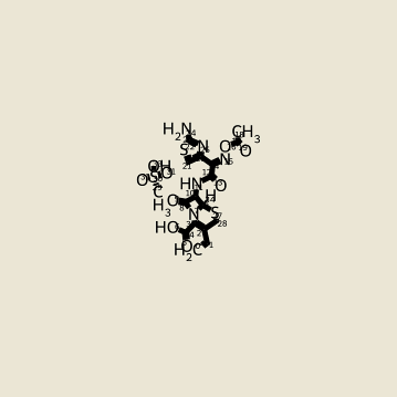 C=CC1=C(C(=O)O)N2C(=O)C(NC(=O)/C(=N/OC(C)=O)c3csc(N)n3)[C@H]2SC1.CS(=O)(=O)O